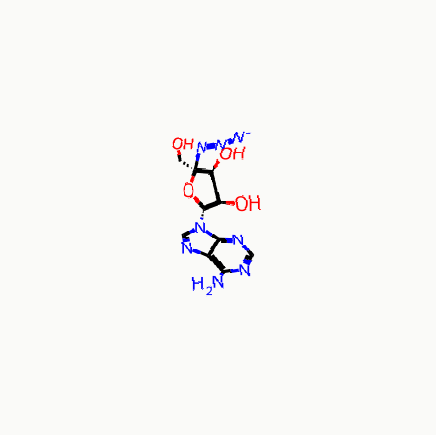 [N-]=[N+]=N[C@]1(CO)O[C@@H](n2cnc3c(N)ncnc32)[C@H](O)[C@@H]1O